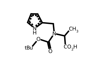 CC(C(=O)O)N(Cc1ccc[nH]1)C(=O)OC(C)(C)C